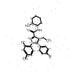 CC[C@@H]1C(C(=O)N[C@H]2CCCC[C@@H]2O)=NN(c2ccc(Cl)cc2Cl)[C@@H]1c1ccc(Br)cc1